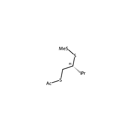 CSS[C@@H](CSC(C)=O)C(C)C